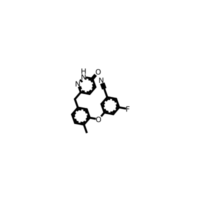 Cc1ccc(Cc2ccc(=O)[nH]n2)cc1Oc1cc(F)cc(C#N)c1